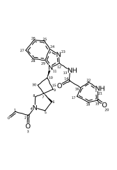 C=CC(=O)N1CC[C@]2(C1)C[C@H](n1c(NC(=O)c3ccc(=O)[nH]c3)nc3ccccc31)C2